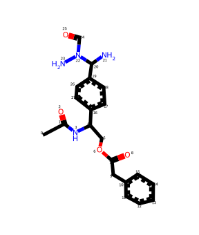 CC(=O)NC(COC(=O)Cc1ccccc1)c1ccc(C(N)N(N)C=O)cc1